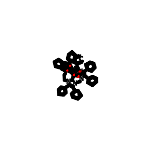 c1ccc(C2=C(c3ccccc3)N3CN4C(c5ccccc5)=C(c5ccccc5)N5CCN6C(c7ccccc7)=C(c7ccccc7)N7CN8C(c9ccccc9)=C(c9ccccc9)N9CCN2C3C(C54)(C98)C67)cc1